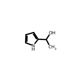 CC(O)c1ccc[nH]1